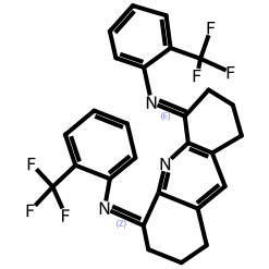 FC(F)(F)c1ccccc1/N=C1/CCCc2cc3c(nc21)/C(=N/c1ccccc1C(F)(F)F)CCC3